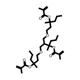 C=C(C)C(=O)OC(C)(CCC)CCOCC(COCCC(C)(CCC)OC(=O)C(=C)C)C(C)(CCC)OC(=O)C(=C)C